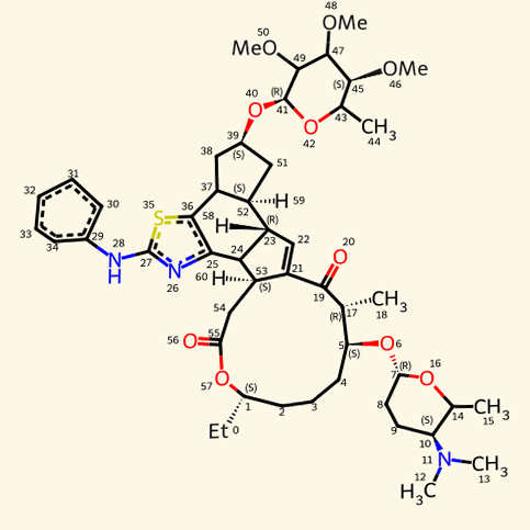 CC[C@H]1CCC[C@H](O[C@H]2CC[C@H](N(C)C)C(C)O2)[C@@H](C)C(=O)C2=C[C@@H]3C(c4nc(Nc5ccccc5)sc4C4C[C@@H](O[C@@H]5OC(C)[C@H](OC)C(OC)C5OC)C[C@H]43)[C@@H]2CC(=O)O1